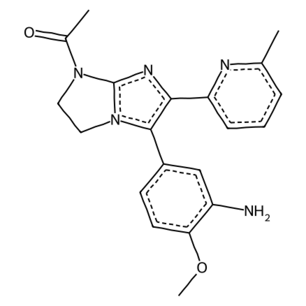 COc1ccc(-c2c(-c3cccc(C)n3)nc3n2CCN3C(C)=O)cc1N